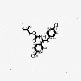 CC(C)COC(=O)NC(Cc1ccc(Cl)nc1)c1ccc(Cl)nc1